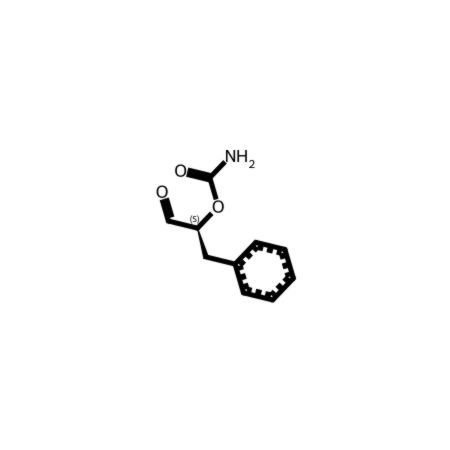 NC(=O)O[C@H](C=O)Cc1ccccc1